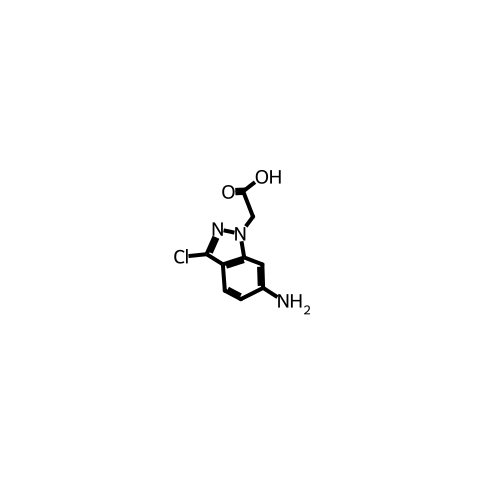 Nc1ccc2c(Cl)nn(CC(=O)O)c2c1